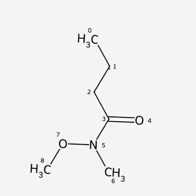 C[CH]CC(=O)N(C)OC